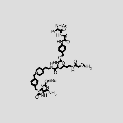 CCCCOc1nc(N)c2[nH]c(=O)n(Cc3ccc(CN4CCC(CCNC(=O)[C@H](CCCCNC(=O)CON)NC(=O)OCc5ccc(NC(=O)[C@H](C)NC(=O)[C@@H](NC(C)=O)C(C)C)cc5)CC4)cc3)c2n1